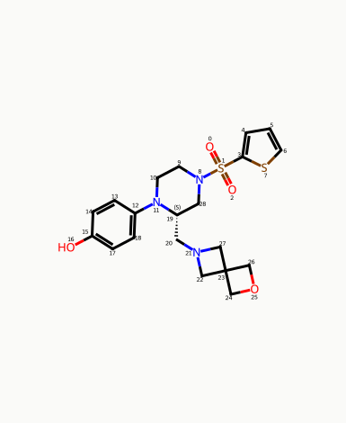 O=S(=O)(c1cccs1)N1CCN(c2ccc(O)cc2)[C@@H](CN2CC3(COC3)C2)C1